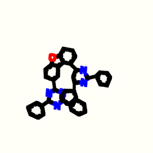 c1ccc(-c2cc(-c3cccc4oc5ccc(-c6nc(-c7ccccc7)nc(-c7ccccc7)n6)cc5c34)nc(-c3ccccc3)n2)cc1